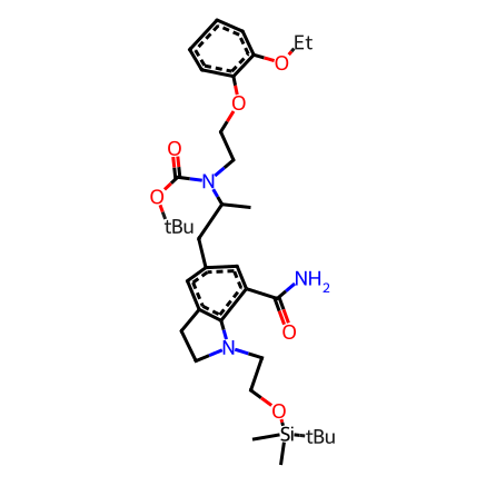 CCOc1ccccc1OCCN(C(=O)OC(C)(C)C)C(C)Cc1cc2c(c(C(N)=O)c1)N(CCO[Si](C)(C)C(C)(C)C)CC2